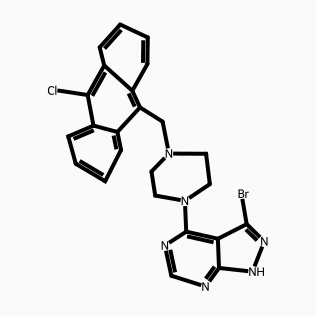 Clc1c2ccccc2c(CN2CCN(c3ncnc4[nH]nc(Br)c34)CC2)c2ccccc12